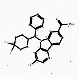 COC(=O)c1ccc2c3ncc(Br)cc3n(C(c3ccccc3)C3CCC(F)(F)CC3)c2c1